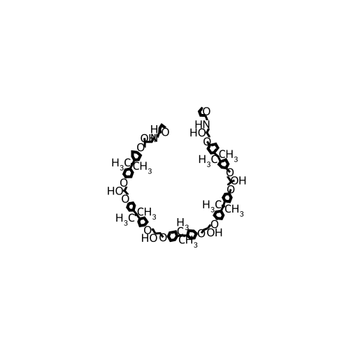 CC(C)(c1ccc(OCC(O)CNCc2ccco2)cc1)c1ccc(OCC(O)COc2ccc(C(C)(C)c3ccc(OCC(O)COc4ccc(C(C)(C)c5ccc(OCC(O)COc6ccc(C(C)(C)c7ccc(OCC(O)COc8ccc(C(C)(C)c9ccc(OCC(O)CNCc%10ccco%10)cc9)cc8)cc7)cc6)cc5)cc4)cc3)cc2)cc1